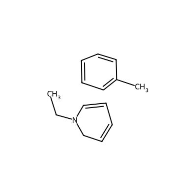 CCN1C=CC=CC1.Cc1ccccc1